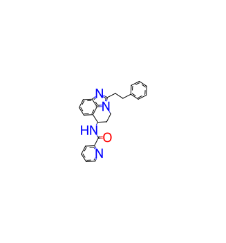 O=C(NC1CCn2c(CCc3ccccc3)nc3cccc1c32)c1ccccn1